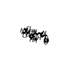 CC(Oc1ccc(NPI)c(C(=N)/C=C/c2ccc(CN3CCOCC3)nc2)c1)c1c(Cl)cncc1Cl